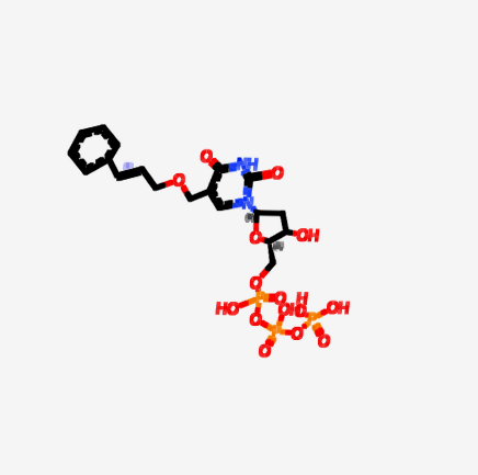 O=c1[nH]c(=O)n([C@H]2CC(O)[C@@H](COP(=O)(O)OP(=O)(O)OP(=O)(O)O)O2)cc1COC/C=C/c1ccccc1